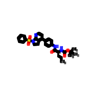 CCC[C@@H](NC(=O)OC(C)(C)C)C(=O)Nc1ccc(-c2ccnc3c2ccn3S(=O)(=O)c2ccccc2)cc1